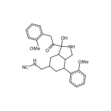 COc1ccccc1CC(=O)C1(O)NCC2C(c3ccccc3OC)CC(CNC#N)CC21